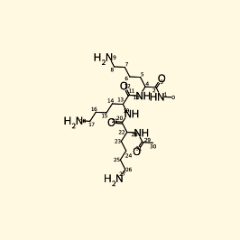 CNC(=O)C(CCCCN)NC(=O)C(CCCCN)NC(=O)C(CCCCN)NC(C)=O